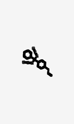 C=CCc1ccc(C(N=C=O)(N=C=O)c2ccccc2)cc1